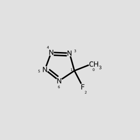 CC1(F)N=NN=N1